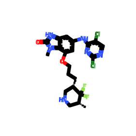 C[C@@H]1CNC[C@H](CCCOc2cc(Nc3nc(Cl)ncc3Cl)cc3[nH]c(=O)n(C)c23)C1(F)F